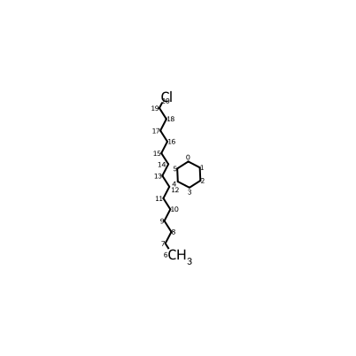 C1CCCCC1.CCCCCCCCCCCCCCCl